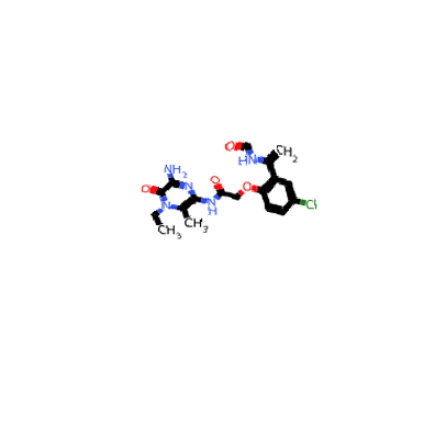 C=C(NC=O)c1cc(Cl)ccc1OCC(=O)Nc1nc(N)c(=O)n(CC)c1C